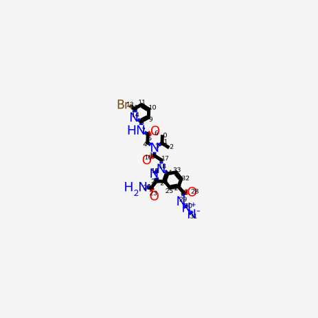 CC(C)N(CC(=O)Nc1cccc(Br)n1)C(=O)Cn1nc(C(N)=O)c2cc(C(=O)N=[N+]=[N-])ccc21